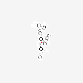 Cc1ccccc1[C@@H]1CC[C@@](C)(O)CN1C1CC2(CCN(c3ccc(C(=O)NS(=O)(=O)c4ccc(NCC5CCOCC5)c([N+](=O)[O-])c4)c(N4c5cc6cc[nH]c6nc5O[C@H]5COCC[C@@H]54)c3)CC2)C1